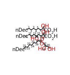 CCCCCCCCCCCCCCCCC(O)C(=O)O.CCCCCCCCCCCCCCCCC(O)C(=O)O.CCCCCCCCCCCCCCCCC(O)C(=O)OCC(O)CO